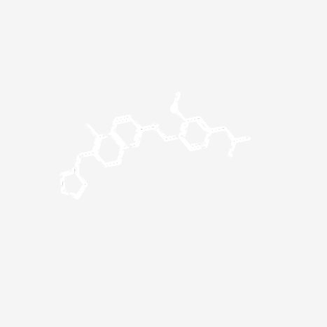 COc1cc(CC(C)C)ccc1COc1ccc2c(c1)CCC(CN1CCCC1)=C2C